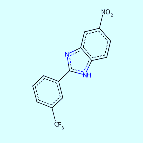 O=[N+]([O-])c1ccc2[nH]c(-c3cccc(C(F)(F)F)c3)nc2c1